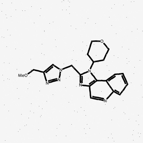 COCc1cn(Cc2nc3cnc4ccccc4c3n2C2CCOCC2)nn1